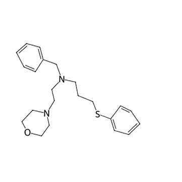 c1ccc(CN(CCCSc2ccccc2)CCN2CCOCC2)cc1